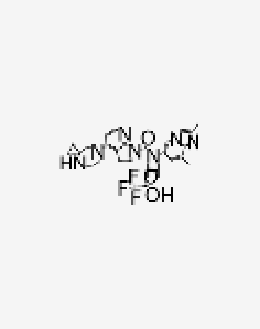 Cc1cn2cc(NC(=O)N3CCc4c(N5CCNC6(CC6)C5)ccnc43)cc(C)c2n1.O=C(O)C(F)(F)F